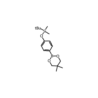 CC1(C)COB(c2ccc(O[Si](C)(C)C(C)(C)C)cc2)OC1